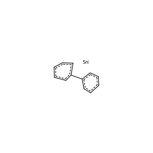 [Sn].c1ccc(-c2ccccc2)cc1